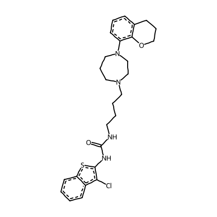 O=C(NCCCCN1CCCN(c2cccc3c2OCCC3)CC1)Nc1sc2ccccc2c1Cl